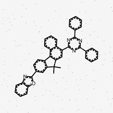 CC1(C)c2cc(-c3nc4ccccc4o3)ccc2-c2c1cc(-c1nc(-c3ccccc3)nc(-c3ccccc3)n1)c1ccccc21